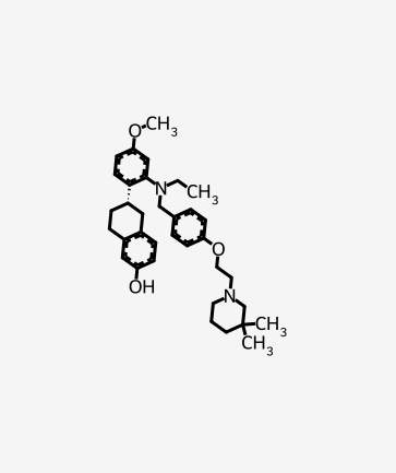 CCN(Cc1ccc(OCCN2CCCC(C)(C)C2)cc1)c1cc(OC)ccc1[C@H]1CCc2cc(O)ccc2C1